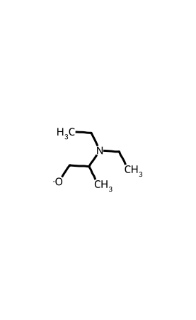 CCN(CC)C(C)C[O]